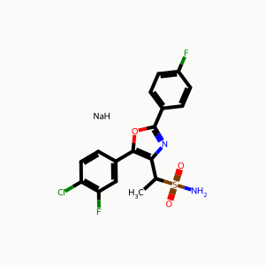 CC(c1nc(-c2ccc(F)cc2)oc1-c1ccc(Cl)c(F)c1)S(N)(=O)=O.[NaH]